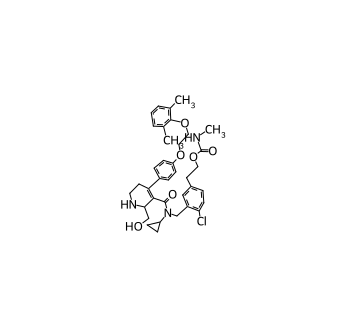 CNC(=O)OCCc1ccc(Cl)c(CN(C(=O)C2=C(c3ccc(OCCOc4c(C)cccc4C)cc3)CCNC2CO)C2CC2)c1